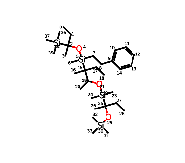 CCC(C)(O[Si](C)(CCc1ccccc1)C(C)(CC)C(C)O[Si](C)(C)C(C)(CC)O[Si](C)(C)C)[Si](C)(C)C